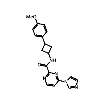 COc1ccc(C2CC(NC(=O)c3nccc(-n4ccnc4)n3)C2)cc1